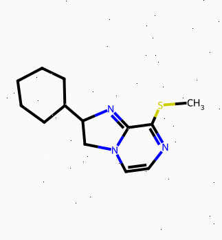 CSC1=NC=CN2CC(C3CCCCC3)N=C12